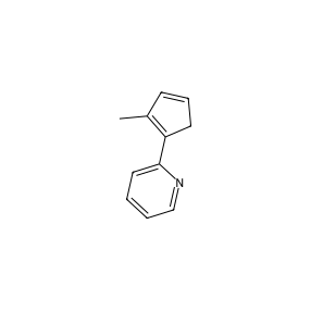 CC1=C(c2ccccn2)CC=C1